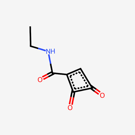 CCNC(=O)c1cc(=O)c1=O